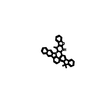 CN1c2c(oc3ccccc23)NC(c2ccc3c(c2)-c2ccccc2C3(C)C)C1n1c2c(c3cc4ccccc4cc31)C=CCC2